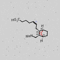 CNC[C@H]1[C@@H](C/C=C\CCCC(=O)O)[C@H]2CC[C@@H]1O2